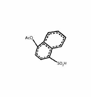 CC(=O)Oc1ccc(S(=O)(=O)O)c2ccccc12